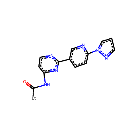 CCC(=O)Nc1ccnc(-c2ccc(-n3cccn3)nc2)n1